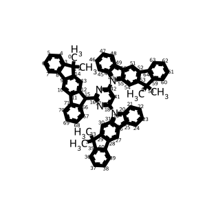 CC1(C)c2ccccc2-c2cc3c(cc21)C(c1nc(-n2c4ccccc4c4cc5c(cc42)C(C)(C)c2ccccc2-5)cc(-n2c4ccccc4c4cc5c(cc42)C(C)(C)c2ccccc2-5)n1)c1ccccc1-3